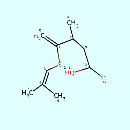 C=C(SC=C(C)C)C(C)CC(O)CC